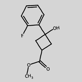 COC(=O)C1CC(O)(c2ccccc2F)C1